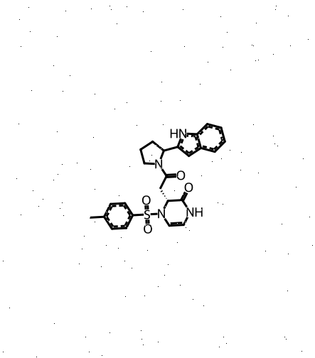 Cc1ccc(S(=O)(=O)N2C=CNC(=O)[C@H]2CC(=O)N2CCCC2c2cc3ccccc3[nH]2)cc1